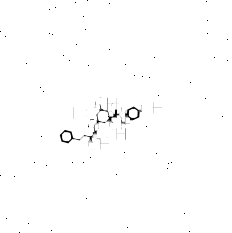 Cc1ccc(NC(=O)C2(C)CC(C)C(C)C(OC(=O)C(C)CCc3ccccc3)C2)cc1